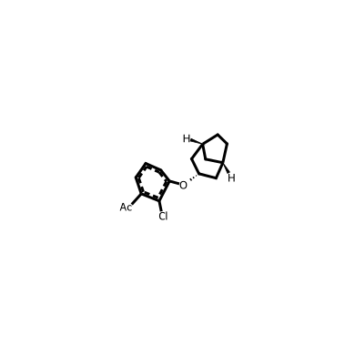 CC(=O)c1cccc(O[C@@H]2C[C@@H]3CC[C@@H](C3)C2)c1Cl